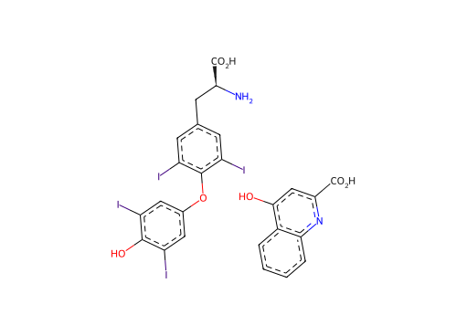 N[C@@H](Cc1cc(I)c(Oc2cc(I)c(O)c(I)c2)c(I)c1)C(=O)O.O=C(O)c1cc(O)c2ccccc2n1